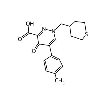 Cc1ccc(-c2cn(CC3CCSCC3)nc(C(=O)O)c2=O)cc1